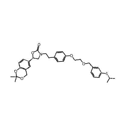 CC(C)Sc1cccc(COCCOc2ccc(CCN3C[C@@H](c4ccc5c(c4)COC(C)(C)O5)OC3=O)cc2)c1